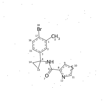 Cc1cc(C2(NC(=O)c3cscn3)CC2)ccc1Br